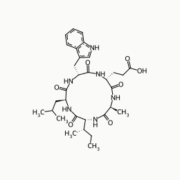 CC[C@H](C)[C@H]1NC(=O)[C@H](C)NC(=O)[C@@H](CCC(=O)O)NC(=O)[C@@H](Cc2c[nH]c3ccccc23)NC(=O)[C@H](CC(C)C)NC1=O